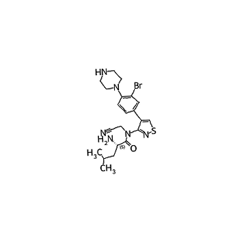 CC(C)C[C@H](N)C(=O)N(CC#N)c1nscc1-c1ccc(N2CCNCC2)c(Br)c1